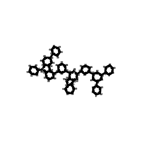 c1ccc(-c2cc(-c3ccccc3)cc(-c3cccc(-c4nc(-c5cccc(-c6cccc7c6c6cc(-c8ccccc8)ccc6n7-c6ccccc6)c5)c5sc6ccccc6c5n4)c3)c2)cc1